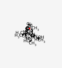 CC(O)CNc1nc(NCC(C)O)c(N=Nc2c(C#N)c(C(C)(C)C)nn2-c2ccc([N+](=O)[O-])cc2)c(NCC(C)O)n1